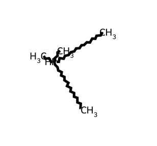 CCCCCCCCCCCCCCCCCC[PH](CCCC)(CCCC)CCCCCCCCCCCCCCCCCC